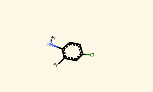 CC(C)Nc1ccc(Cl)cc1C(C)C